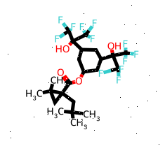 CC(C)(C)CC1(C(=O)OC2CC(C(O)(C(F)(F)F)C(F)(F)F)CC(C(O)(C(F)(F)F)C(F)(F)F)C2)CC1(C)C